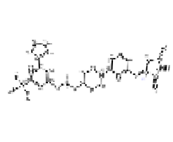 O=C1NC(=O)/C(=C/c2ccnc(N3CCC(CNCc4cc(-c5ccoc5)nc(C(F)(F)F)c4)CC3)n2)S1